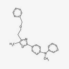 Cc1oc(-c2ccc(N(C)c3ccccc3)cc2)nc1CCOCc1ccccc1